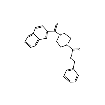 O=C(OCc1ccccc1)N1CCN(C(=O)c2ccc3ccccc3c2)CC1